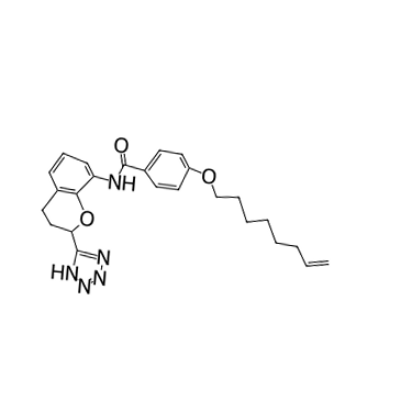 C=CCCCCCCOc1ccc(C(=O)Nc2cccc3c2OC(c2nnn[nH]2)CC3)cc1